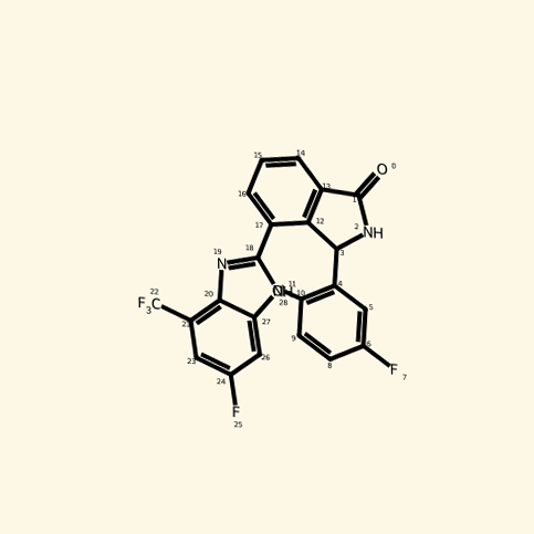 O=C1NC(c2cc(F)ccc2Cl)c2c1cccc2-c1nc2c(C(F)(F)F)cc(F)cc2[nH]1